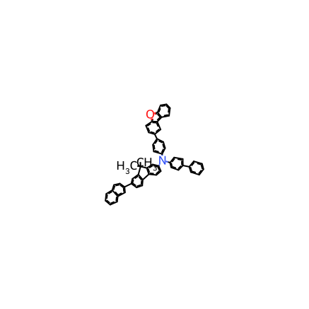 CC1(C)c2cc(-c3ccc4ccccc4c3)ccc2-c2ccc(N(c3ccc(-c4ccccc4)cc3)c3ccc(-c4ccc5oc6ccccc6c5c4)cc3)cc21